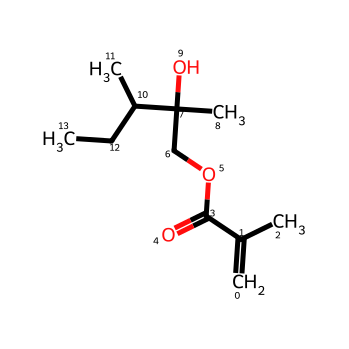 C=C(C)C(=O)OCC(C)(O)C(C)CC